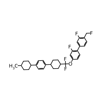 CC1CCC(c2ccc(C3CCC(C(F)(F)Oc4ccc(-c5ccc(CF)c(F)c5)c(F)c4)CC3)cc2)CC1